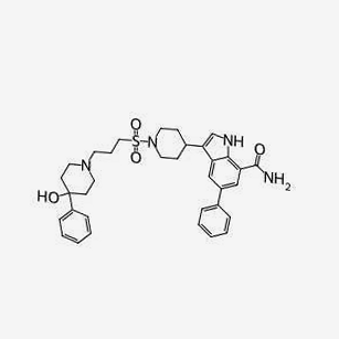 NC(=O)c1cc(-c2ccccc2)cc2c(C3CCN(S(=O)(=O)CCCN4CCC(O)(c5ccccc5)CC4)CC3)c[nH]c12